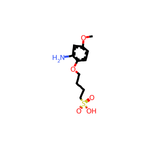 COc1ccc(OCCCCS(=O)(=O)O)c(N)c1